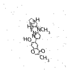 Cc1coc2cc(O)c(-c3ccc(N(C)[C@H]4C[C@@H]5CC[C@@H](C5)[C@H]4F)nn3)cc2c1=O